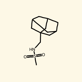 CS(=O)(=O)NCC12CC3CC(CC(C3)C1)C2